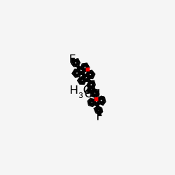 CC1(C)c2cc(-c3c4ccccc4c(-c4ccc(F)cc4)c4ccccc34)ccc2-c2ccc(-c3c4ccccc4c(-c4c5ccccc5c(-c5ccc(F)cc5)c5ccccc45)c4ccccc34)cc21